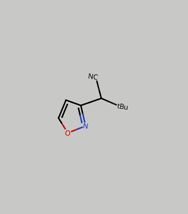 CC(C)(C)C(C#N)c1ccon1